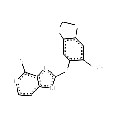 CSc1cc2c(cc1Sc1nc3c(N)nccc3[nH]1)OCO2